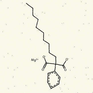 CCCCCCCCCCC(C(=O)[O-])(C(=O)[O-])c1ccccc1.[Mg+2]